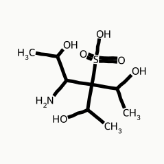 CC(O)C(N)C(C(C)O)(C(C)O)S(=O)(=O)O